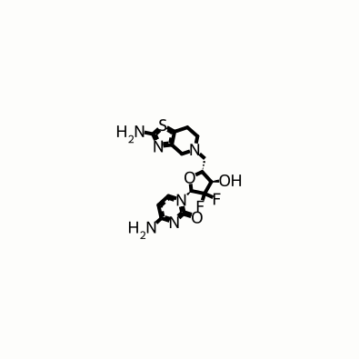 Nc1ccn([C@@H]2O[C@H](CN3CCc4sc(N)nc4C3)[C@@H](O)C2(F)F)c(=O)n1